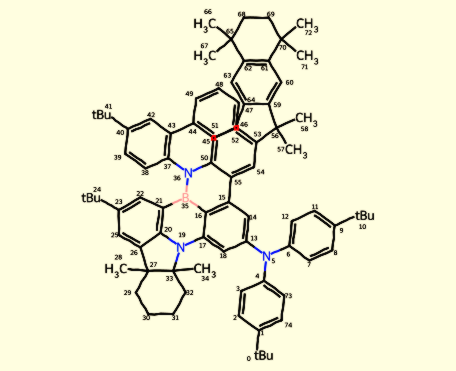 CC(C)(C)c1ccc(N(c2ccc(C(C)(C)C)cc2)c2cc3c4c(c2)N2c5c(cc(C(C)(C)C)cc5C5(C)CCCCC25C)B4N(c2ccc(C(C)(C)C)cc2-c2ccccc2)c2cc4c(cc2-3)C(C)(C)c2cc3c(cc2-4)C(C)(C)CCC3(C)C)cc1